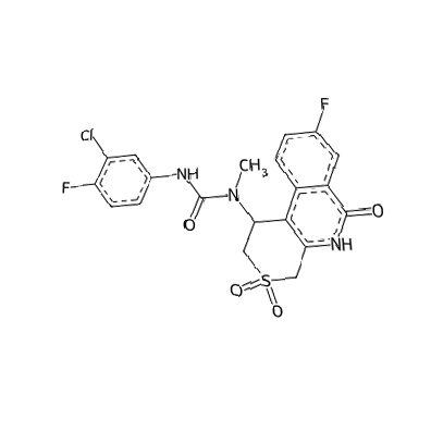 CN(C(=O)Nc1ccc(F)c(Cl)c1)C1CS(=O)(=O)Cc2[nH]c(=O)c3cc(F)ccc3c21